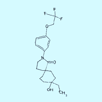 CCC1(O)CCC2(CCN(c3ccc(OCC(F)(F)F)cc3)C2=O)CC1